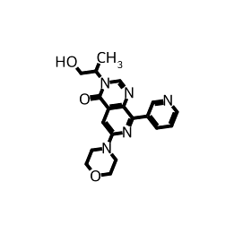 CC(CO)n1cnc2c(-c3cccnc3)nc(N3CCOCC3)cc2c1=O